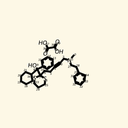 CN(CC#CCCC1(C(O)(c2ccccc2)C2CCCCC2)SCCCS1)CCc1ccccc1.O=C(O)C(=O)O